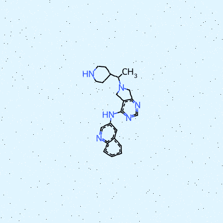 CC(C1CCNCC1)N1Cc2ncnc(Nc3cnc4ccccc4c3)c2C1